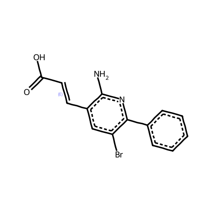 Nc1nc(-c2ccccc2)c(Br)cc1/C=C/C(=O)O